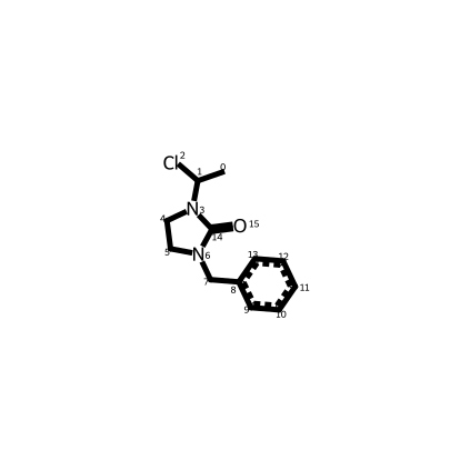 CC(Cl)N1CCN(Cc2ccccc2)C1=O